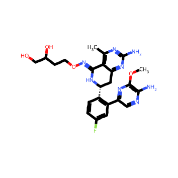 COc1nc(-c2cc(F)ccc2[C@H]2Cc3nc(N)nc(C)c3/C(=N/OCCC(O)CO)N2)cnc1N